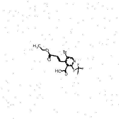 CCOC(=O)/C=C/c1c(Br)cnc(SC(F)(F)F)c1C(=O)O